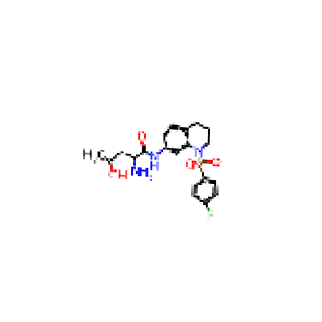 CC(O)CC(N)C(=O)Nc1ccc2c(c1)N(S(=O)(=O)c1ccc(F)cc1)CCC2